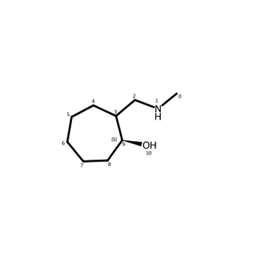 CNCC1CCCCC[C@@H]1O